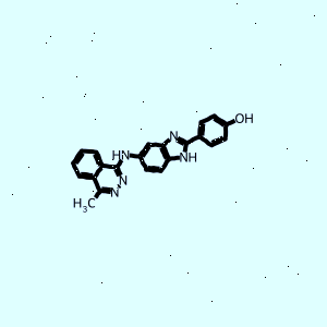 Cc1nnc(Nc2ccc3[nH]c(-c4ccc(O)cc4)nc3c2)c2ccccc12